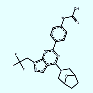 O=C(O)Nc1ccc(-c2nc(N3CC4CCC(C3)O4)c3cnn(CC(F)(F)F)c3n2)cc1